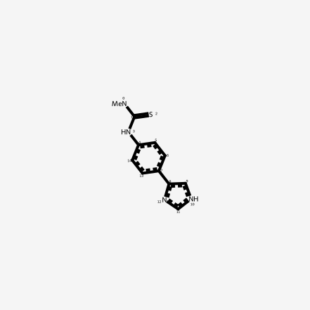 CNC(=S)Nc1ccc(-c2c[nH]cn2)cc1